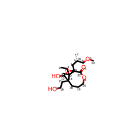 CCC1(C)C2(C[C@H](C)COC)OC(O)C1(CCO)CCCOC2=O